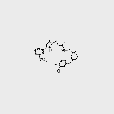 O=C(CSC1NC(c2cccc([N+](=O)[O-])c2)=CS1)NC[C@H]1CN(Cc2ccc(Cl)c(Cl)c2)CCO1